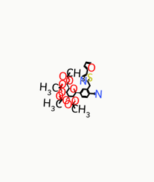 CC(=O)OC[C@H]1O[C@@H](c2ccc(C#N)c(Cc3ncc(-c4ccco4)s3)c2)[C@H](OC(C)=O)[C@@H](OC(C)=O)[C@@H]1OC(C)=O